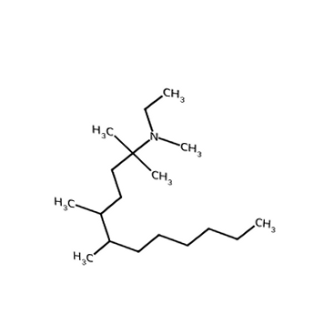 CCCCCCC(C)C(C)CCC(C)(C)N(C)CC